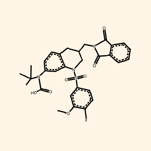 COc1cc(S(=O)(=O)N2CC(CN3C(=O)c4ccccc4C3=O)Cc3ccc(N(C(=O)O)C(C)(C)C)cc32)ccc1F